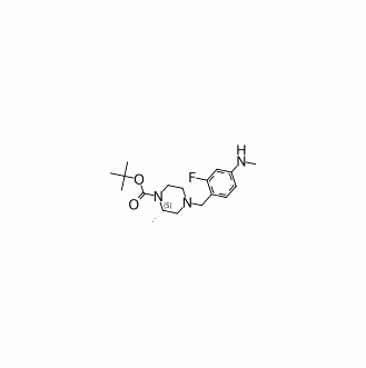 CNc1ccc(CN2CCN(C(=O)OC(C)(C)C)[C@@H](C)C2)c(F)c1